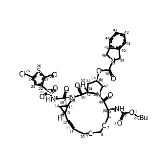 CC(C)(C)OC(=O)N[C@H]1CCCCC/C=C\[C@@H]2C[C@@]2(C(=O)NS(=O)(=O)c2cc(Cl)sc2Cl)NC(=O)[C@@H]2C[C@@H](OC(=O)N3Cc4ccccc4C3)CN2C1=O